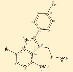 COc1ccc(Br)c2nc(-c3ccc(C(C)C)cc3)n(CCSC)c12